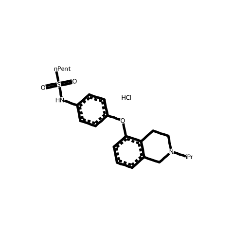 CCCCCS(=O)(=O)Nc1ccc(Oc2cccc3c2CCN(C(C)C)C3)cc1.Cl